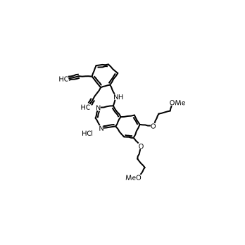 C#Cc1cccc(Nc2ncnc3cc(OCCOC)c(OCCOC)cc23)c1C#C.Cl